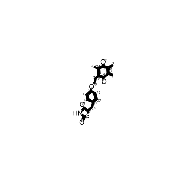 CC1=C(C)C(=O)C(CCOc2ccc(CC3SC(=O)NC3=O)cc2)=C(C)C1=O